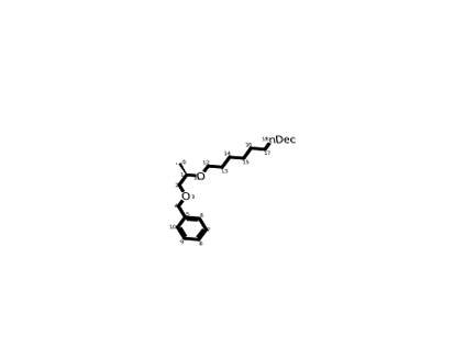 [CH2][C@H](COCc1ccccc1)OCCCCCCCCCCCCCCCC